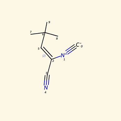 [C-]#[N+]/C(C#N)=C\C(C)(C)C